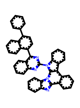 c1ccc(-c2ccc(-c3nc(-n4c5ccccc5c5c6ccccc6c6nc7ccccc7n6c54)nc4ccccc34)c3ccccc23)cc1